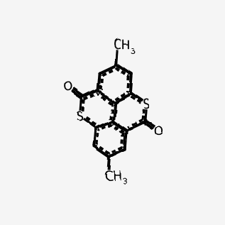 Cc1cc2sc(=O)c3cc(C)cc4sc(=O)c(c1)c2c43